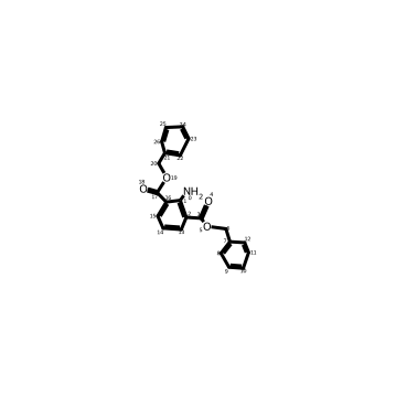 Nc1c(C(=O)OCc2ccccc2)cccc1C(=O)OCc1ccccc1